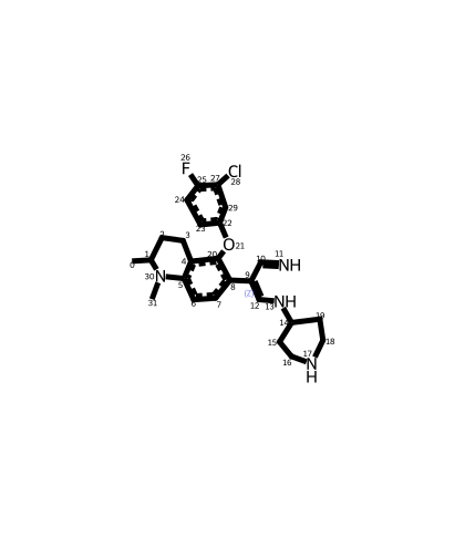 CC1CCc2c(ccc(/C(C=N)=C/NC3CCNCC3)c2Oc2ccc(F)c(Cl)c2)N1C